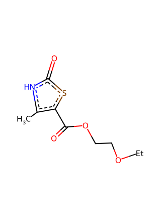 CCOCCOC(=O)c1sc(=O)[nH]c1C